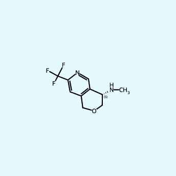 CN[C@@H]1COCc2cc(C(F)(F)F)ncc21